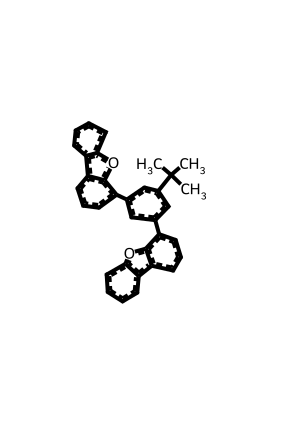 CC(C)(C)c1cc(-c2cccc3c2oc2ccccc23)cc(-c2cccc3c2oc2ccccc23)c1